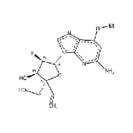 C=C[C@]1(CO)O[C@@H](n2cnc3c(OCC)nc(N)nc32)[C@H](F)[C@@H]1O